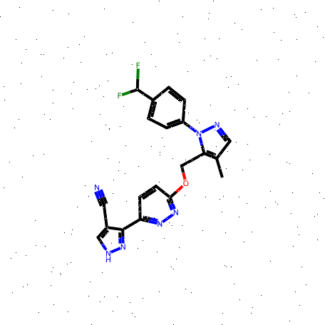 Cc1cnn(-c2ccc(C(F)F)cc2)c1COc1ccc(-c2n[nH]cc2C#N)nn1